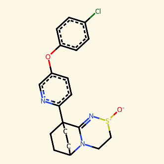 [O-][S+]1CCN2C(=N1)C1(c3ccc(Oc4ccc(Cl)cc4)cn3)CCC2CC1